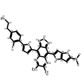 CCc1nc2c(-c3ccc(-c4ccc(CCC(C)C)cc4F)s3)c3nsnc3c(-c3cc4sc(N(C)C)cc4s3)c2nc1CC